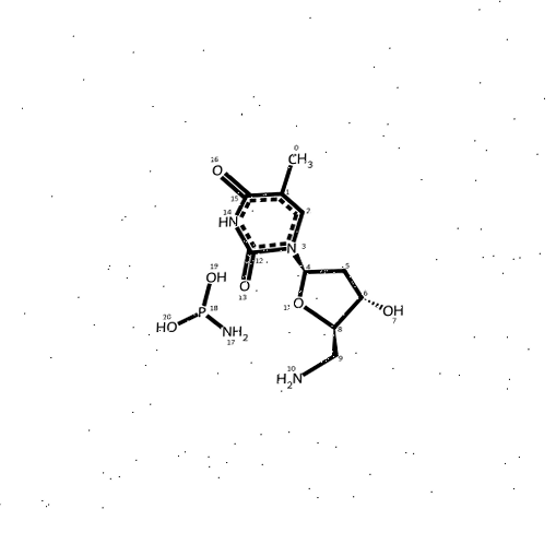 Cc1cn([C@H]2C[C@H](O)[C@@H](CN)O2)c(=O)[nH]c1=O.NP(O)O